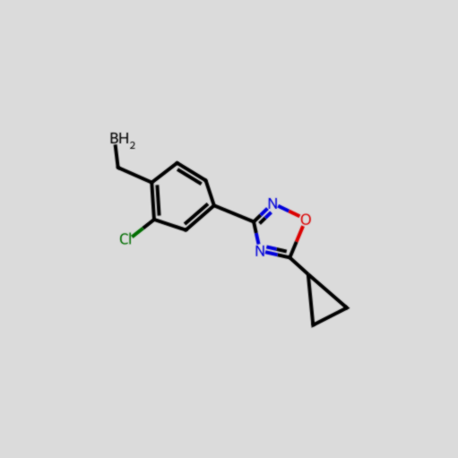 BCc1ccc(-c2noc(C3CC3)n2)cc1Cl